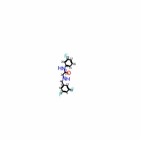 O=C(CNCc1cc(F)cc(F)c1)Nc1cccc(F)c1